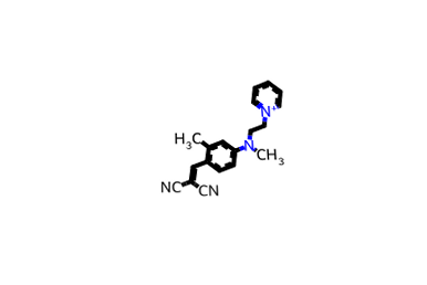 Cc1cc(N(C)CC[n+]2ccccc2)ccc1C=C(C#N)C#N